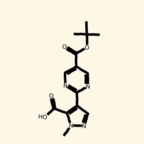 Cn1ncc(-c2ncc(C(=O)OC(C)(C)C)cn2)c1C(=O)O